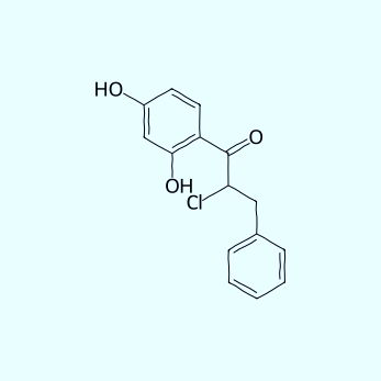 O=C(c1ccc(O)cc1O)C(Cl)Cc1ccccc1